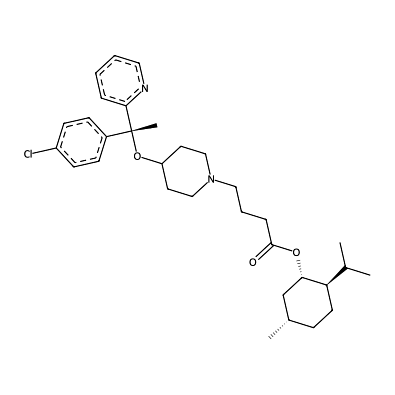 CC(C)[C@H]1CC[C@H](C)C[C@@H]1OC(=O)CCCN1CCC(O[C@](C)(c2ccc(Cl)cc2)c2ccccn2)CC1